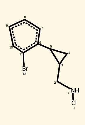 ClNCC1CC1c1ccccc1Br